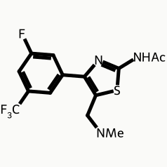 CNCc1sc(NC(C)=O)nc1-c1cc(F)cc(C(F)(F)F)c1